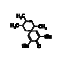 CC1=CC(C)C2(C=C(C(C)(C)C)C(=O)C(C(C)(C)C)=C2)CC1C